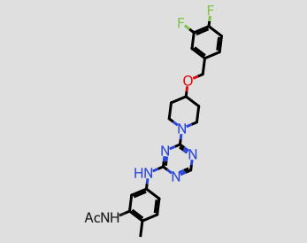 CC(=O)Nc1cc(Nc2ncnc(N3CCC(OCc4ccc(F)c(F)c4)CC3)n2)ccc1C